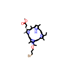 CCC1=C(C)c2cc3[nH]c(cc4nc(c(C)c5cc(C)c(cc1n2)[nH]5)[C@@H](CCC(=O)OC)[C@@H]4C)c(C)c3C(C)OCCCBr